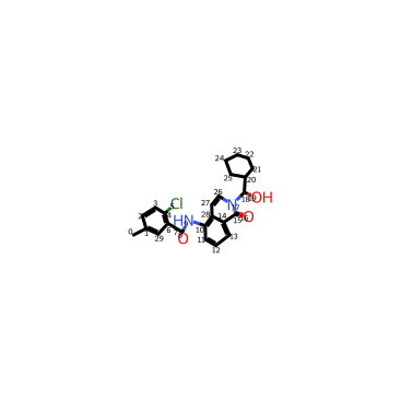 Cc1ccc(Cl)c(C(=O)Nc2cccc3c(=O)n(C(O)C4CCCCC4)ccc23)c1